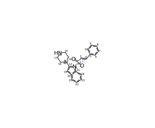 O=S(=O)(/C=C/c1ccccc1)n1c(N2CCNCC2)cc2ccccc21